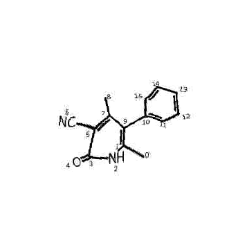 Cc1[nH]c(=O)c(C#N)c(C)c1-c1ccccc1